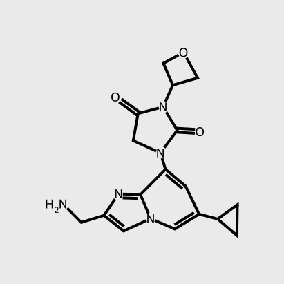 NCc1cn2cc(C3CC3)cc(N3CC(=O)N(C4COC4)C3=O)c2n1